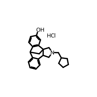 Cl.Oc1ccc2c(c1)C13CC2c2ccccc2C1CN(CC1CCCC1)C3